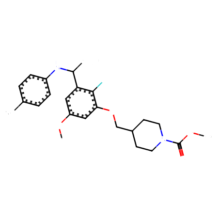 CCOC(=O)C(Nc1ccc(C#N)cc1)c1cc(OCC)cc(OCC2CCN(C(=O)OC(C)(C)C)CC2)c1F